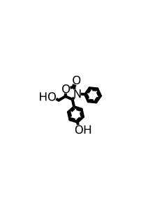 O=C1OC(CO)C(c2ccc(O)cc2)N1c1ccccc1